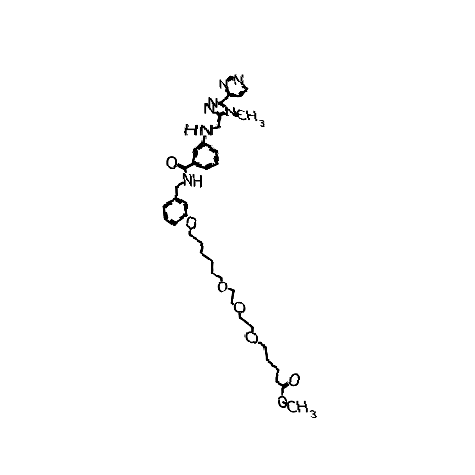 COC(=O)CCCCOCCOCCOCCCCCCOc1cccc(CNC(=O)c2cccc(NCc3nnc(-c4ccncn4)n3C)c2)c1